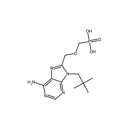 CC(C)(C)Cn1c(COCP(=O)(O)O)nc2c(N)ncnc21